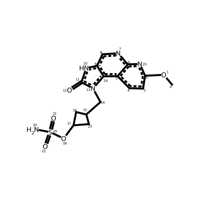 COc1ccc2c(ncc3[nH]c(=O)n(CC4CC(OS(N)(=O)=O)C4)c32)n1